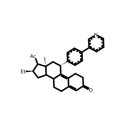 CC[C@@H]1CC2C3CCC4=CC(=O)CCC4=C3[C@@H](c3ccc(-c4cccnc4)cc3)C[C@]2(C)C1C(C)=O